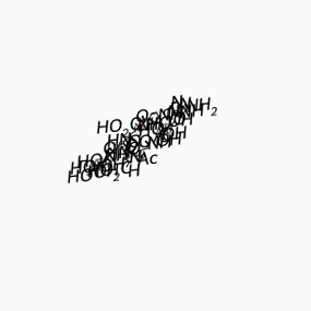 CC(=O)[C@H](CCC(=O)NC[C@H](O)[C@@H](O)[C@H](O)[C@H](O)CO)NC(=O)[C@H](CCC(=O)O)NC(=O)[C@H](CCC(=O)NC[C@H](O)[C@@H](O)[C@H](O)[C@H](O)CO)NC(=O)CC[C@H](NC(=O)c1ccc(NCc2cnc3nc(N)[nH]c(=O)c3n2)cc1)C(=O)O